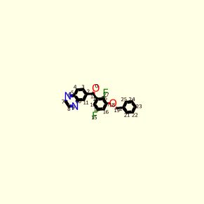 O=C(c1ccc2nccnc2c1)c1cc(F)cc(OCc2ccccc2)c1F